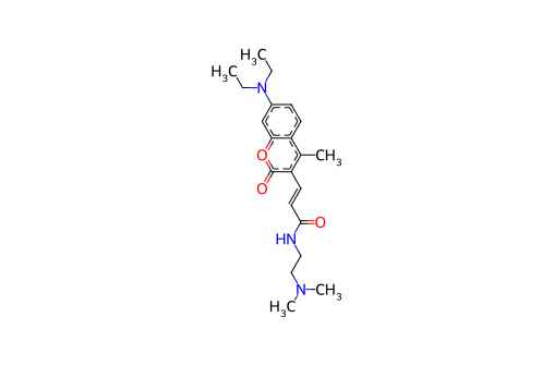 CCN(CC)c1ccc2c(C)c(/C=C/C(=O)NCCN(C)C)c(=O)oc2c1